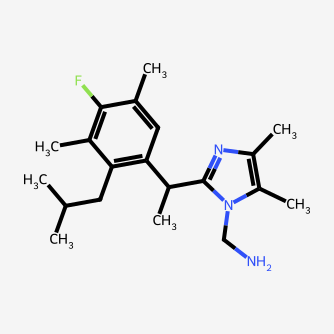 Cc1cc(C(C)c2nc(C)c(C)n2CN)c(CC(C)C)c(C)c1F